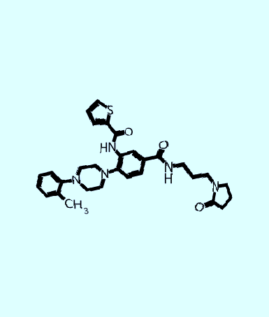 Cc1ccccc1N1CCN(c2ccc(C(=O)NCCCN3CCCC3=O)cc2NC(=O)c2cccs2)CC1